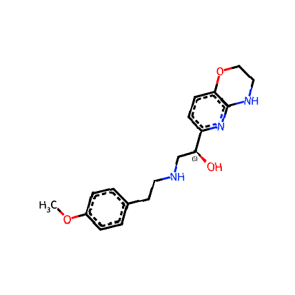 COc1ccc(CCNC[C@H](O)c2ccc3c(n2)NCCO3)cc1